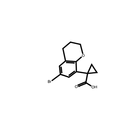 O=C(O)C1(c2cc(Br)cc3c2OCCC3)CC1